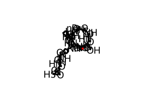 CCCC1NC(=O)CNC(=O)CNC(=O)[C@H](C[C@@H](O)CO)NC(=O)[C@@H]2CCCN2C(=O)[C@H](CC(=O)NCc2ccc(NC(=O)[C@H](C)NC(=O)CNC(=O)CCN3C(=O)CC(S)C3=O)cc2)NC(=O)C([S+]([O-])c2[nH]c3ccccc3c2C)NC(=O)CNC1=O